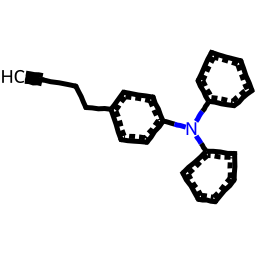 C#CCCc1ccc(N(c2ccccc2)c2ccccc2)cc1